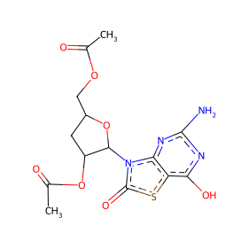 CC(=O)OCC1CC(OC(C)=O)C(n2c(=O)sc3c(O)nc(N)nc32)O1